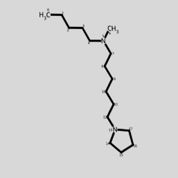 CCCCCN(C)CCCCCCN1CCCC1